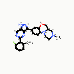 COc1cccc(F)c1-c1ncc2[nH]nc(-c3ccc4c(c3)OCC3CN(C)CCN43)c2n1